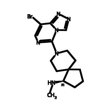 CN[C@@H]1CCCC12CCN(c1ncc(Br)c3nncn13)CC2